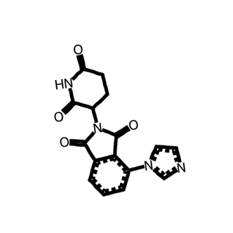 O=C1CCC(N2C(=O)c3cccc(-n4ccnc4)c3C2=O)C(=O)N1